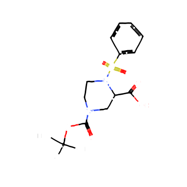 CC(C)(C)OC(=O)N1CCN(S(=O)(=O)c2ccccc2)C(C(=O)O)C1